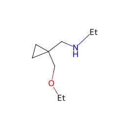 CCNCC1(COCC)CC1